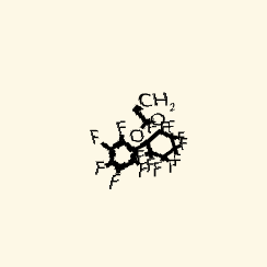 C=CC(=O)OC1(c2c(F)c(F)c(F)c(F)c2F)C(F)(F)C(F)(F)C(F)(F)C(F)(F)C1(F)F